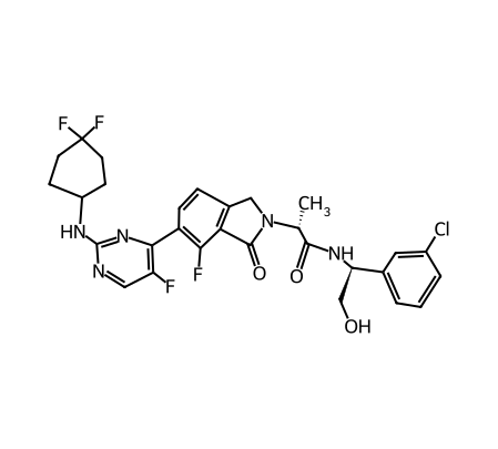 C[C@H](C(=O)N[C@H](CO)c1cccc(Cl)c1)N1Cc2ccc(-c3nc(NC4CCC(F)(F)CC4)ncc3F)c(F)c2C1=O